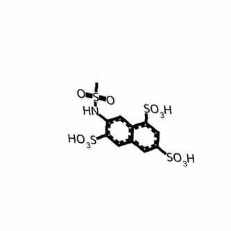 CS(=O)(=O)Nc1cc2c(S(=O)(=O)O)cc(S(=O)(=O)O)cc2cc1S(=O)(=O)O